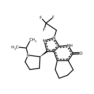 CC(C)N1CCC[C@@H]1c1nn(CC(F)(F)F)c2[nH]c(=O)c3c(c12)CCCC3